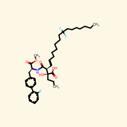 CCCCCCCC(F)(F)CCCCCCC=C[C@H](C(=O)N[C@@H](Cc1ccc(-c2ccccc2F)cc1)C(=O)OC)[C@@](O)(CCC)C(=O)O